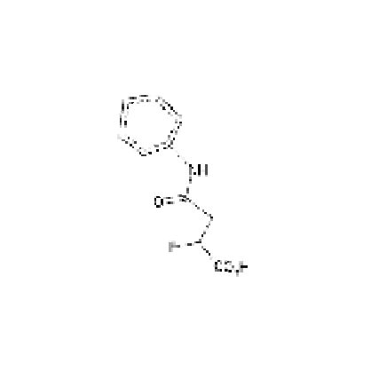 O=C(CC(F)C(=O)O)Nc1ccccc1